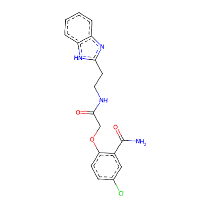 NC(=O)c1cc(Cl)ccc1OCC(=O)NCCc1nc2ccccc2[nH]1